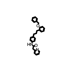 O=C(Cc1ccccn1)Nc1ccc(CCCc2ccccc2OCc2ccccc2)cc1